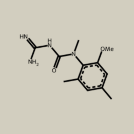 COc1cc(C)cc(C)c1N(C)C(=O)NC(=N)N